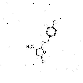 C[C@H]1CC(=O)OC1OCc1ccc(Cl)cc1